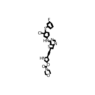 O=C(OC1CNC(C#Cc2cc3ncnc(Nc4ccc(Sc5cccc(F)c5)c(Cl)c4)c3s2)C1)N1CCOCC1